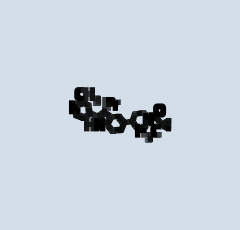 Cc1cc(-c2[nH]c3ccc(C4CCN(C(=O)C5(C)CC5)CC4)cc3c2C(C)C)ccn1